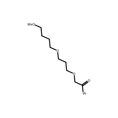 COCCCCOCCCOCC(=O)C(C)C